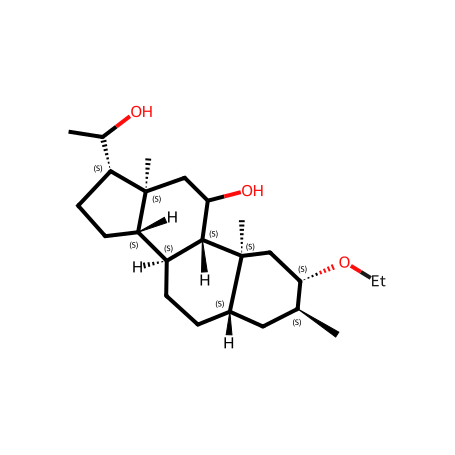 CCO[C@H]1C[C@@]2(C)[C@@H](CC[C@H]3[C@@H]4CC[C@H](C(C)O)[C@@]4(C)CC(O)[C@@H]32)C[C@@H]1C